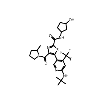 CC1CCCN1C(=O)c1nc(C(=O)NC2CCC(O)C2)sc1-c1cnc(NC(C)(C)C)cc1C(F)(F)F